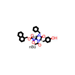 CCCC[C@@H]1ON(C(=O)OCc2cccc3ccccc23)[C@H]2CN(Cc3ccccc3)C(=O)[C@H](Cc3ccc(O)cc3)N2C1=O